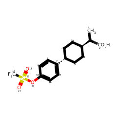 CC(C(=O)O)[C@H]1CC[C@H](c2ccc(OS(=O)(=O)C(F)(F)F)cc2)CC1